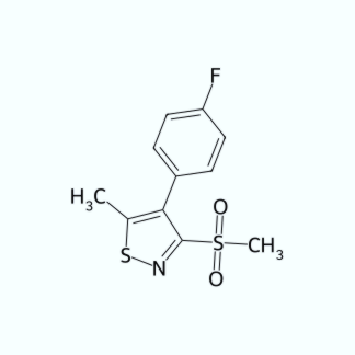 Cc1snc(S(C)(=O)=O)c1-c1ccc(F)cc1